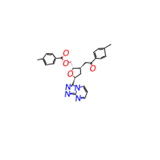 Cc1ccc(C(=O)C[C@H]2C[C@@H](c3nnc4ncccn34)O[C@@H]2COC(=O)c2ccc(C)cc2)cc1